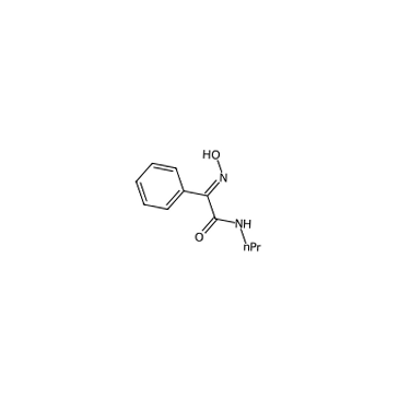 CCCNC(=O)/C(=N/O)c1ccccc1